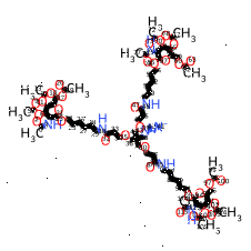 CC(=O)NC1C(OC(C)=O)[C@@H](OC(C)=O)C(COC(C)=O)O[C@H]1OCCCCCCNC(=O)CCOCC(CN=[N+]=[N-])(COCCC(=O)NCCCCCCO[C@@H]1OC(COC(C)=O)[C@H](OC(C)=O)C(OC(C)=O)C1NC(C)=O)COCCC(=O)NCCCCCCO[C@@H]1OC(COC(C)=O)[C@H](OC(C)=O)C(OC(C)=O)[C@H]1NC(C)=O